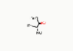 CC(C)COC(=O)[C@@H](N=O)C(C)C